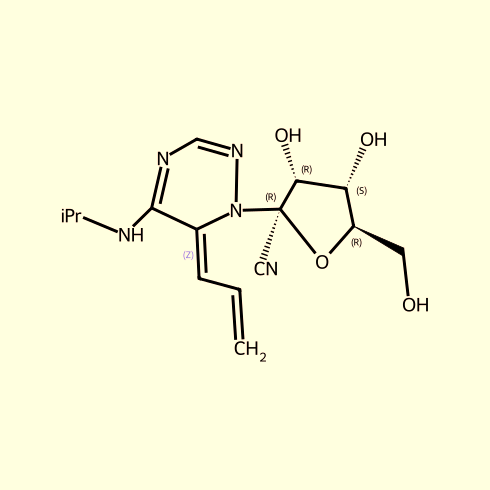 C=C/C=C1/C(NC(C)C)=NC=NN1[C@]1(C#N)O[C@H](CO)[C@@H](O)[C@H]1O